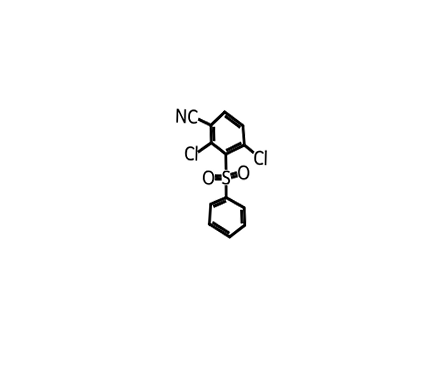 N#Cc1ccc(Cl)c(S(=O)(=O)c2ccccc2)c1Cl